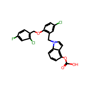 O=C(O)Oc1cccc2c1ccn2Cc1cc(Cl)ccc1OCc1ccc(F)cc1Cl